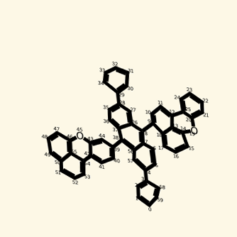 c1ccc(-c2ccc3c(-c4ccc5c6c(cccc46)Oc4ccccc4-5)c4cc(-c5ccccc5)ccc4c(-c4ccc5c(c4)Oc4cccc6cccc-5c46)c3c2)cc1